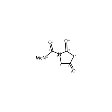 CNC(=O)N1CC(=O)CC1=O